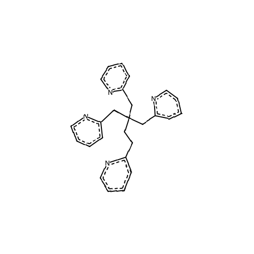 c1ccc(CCC(Cc2ccccn2)(Cc2ccccn2)Cc2ccccn2)nc1